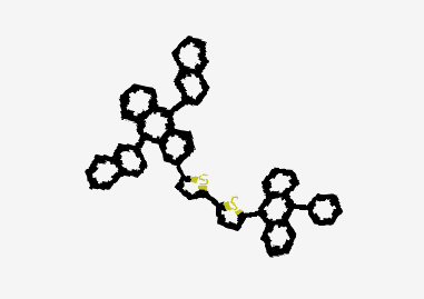 c1ccc(-c2c3ccccc3c(-c3ccc(-c4ccc(-c5ccc6c(-c7ccc8ccccc8c7)c7ccccc7c(-c7ccc8ccccc8c7)c6c5)s4)s3)c3ccccc23)cc1